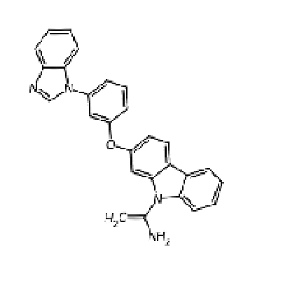 C=C(N)n1c2ccccc2c2ccc(Oc3cccc(-n4cnc5ccccc54)c3)cc21